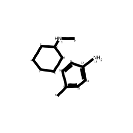 CNC1CCCCC1.Cc1ccc(N)cc1